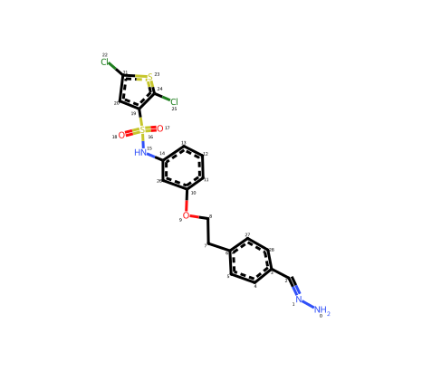 NN=Cc1ccc(CCOc2cccc(NS(=O)(=O)c3cc(Cl)sc3Cl)c2)cc1